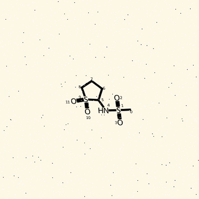 CS(=O)(=O)NC1CCCS1(=O)=O